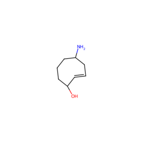 NC1C/C=C/C(O)CCC1